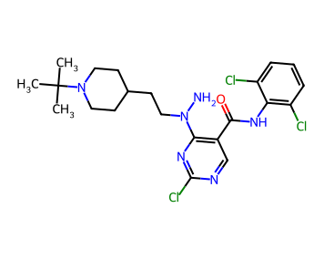 CC(C)(C)N1CCC(CCN(N)c2nc(Cl)ncc2C(=O)Nc2c(Cl)cccc2Cl)CC1